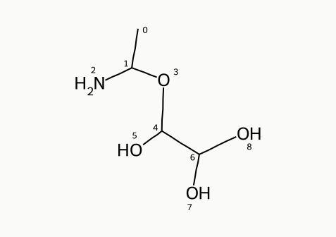 CC(N)OC(O)C(O)O